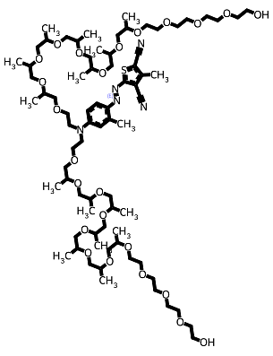 Cc1cc(N(CCOCC(C)OCC(C)OCC(C)OCC(C)OCC(C)OCC(C)OCC(C)OCCOCCOCCOCCO)CCOCC(C)OCC(C)OCC(C)OCC(C)OCC(C)OCC(C)OCC(C)OCCOCCOCCOCCO)ccc1/N=N/c1sc(C#N)c(C)c1C#N